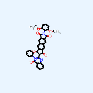 COc1cccc(OC)c1N1C(=O)c2cc3cc4c(cc3cc2C1=O)C(=O)C(c1nc2ccccc2c(=O)n1-c1ccccc1)C4=O